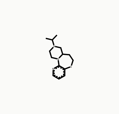 CC(C)N1CCN2c3ncccc3SCCC2C1